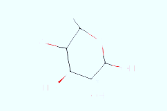 CCC1OC(O)[C@H](O)[C@@H](O)C1O